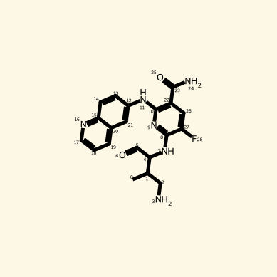 CC(CN)C(C=O)Nc1nc(Nc2ccc3ncccc3c2)c(C(N)=O)cc1F